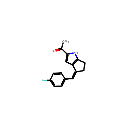 COC(=O)c1cc2c([nH]1)CC/C2=C/c1ccc(F)cc1